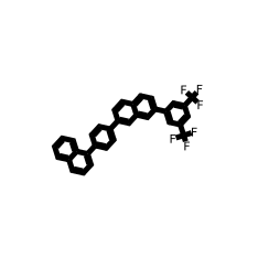 FC(F)(F)c1cc(-c2ccc3ccc(-c4ccc(-c5cccc6ccccc56)cc4)cc3c2)cc(C(F)(F)F)c1